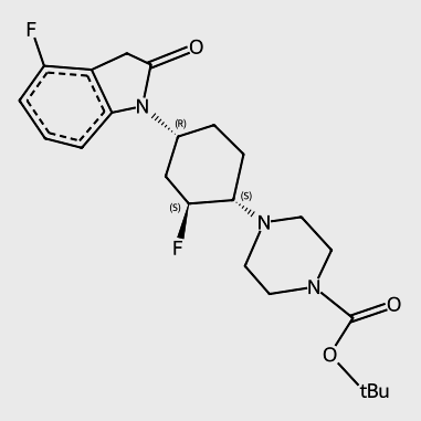 CC(C)(C)OC(=O)N1CCN([C@H]2CC[C@@H](N3C(=O)Cc4c(F)cccc43)C[C@@H]2F)CC1